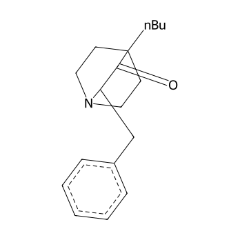 CCCCC12CCN(CC1)C(Cc1ccccc1)C2=O